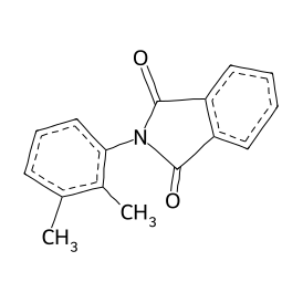 Cc1cccc(N2C(=O)c3ccccc3C2=O)c1C